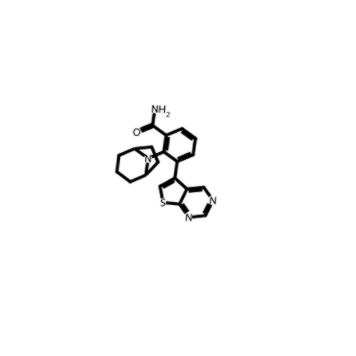 NC(=O)c1cccc(-c2csc3ncncc23)c1N1C2CCCC1CC2